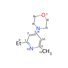 CCc1cc(N2CCOCC2)cc(C)n1